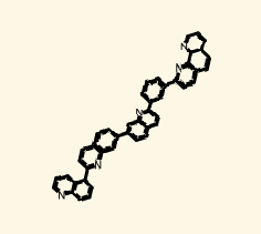 C1=CC2C=Cc3ccc(-c4cccc(-c5ccc6ccc(-c7ccc8ccc(-c9cccc%10ncccc9%10)nc8c7)cc6n5)c4)nc3C2N=C1